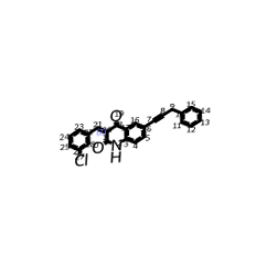 O=C1Nc2ccc(C#CCc3ccccc3)cc2C(=O)/C1=C/c1cccc(Cl)c1